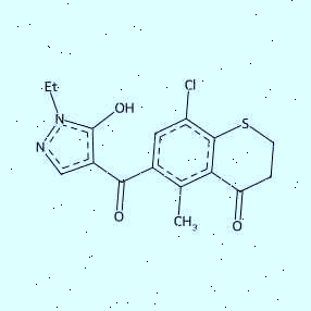 CCn1ncc(C(=O)c2cc(Cl)c3c(c2C)C(=O)CCS3)c1O